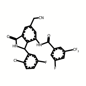 N#CCc1cc(NC(=O)c2cc(F)cc(C(F)(F)F)c2)c2c(c1)C(=O)NC2c1cc(F)ccc1Cl